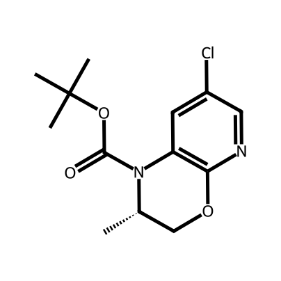 C[C@H]1COc2ncc(Cl)cc2N1C(=O)OC(C)(C)C